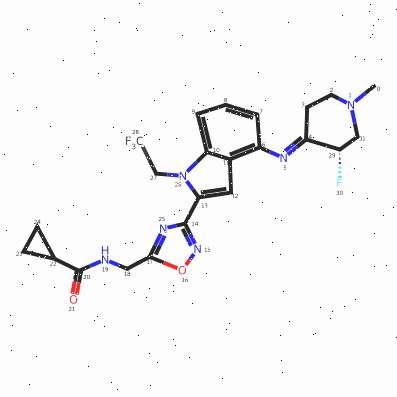 CN1CC/C(=N\c2cccc3c2cc(-c2noc(CNC(=O)C4CC4)n2)n3CC(F)(F)F)[C@@H](F)C1